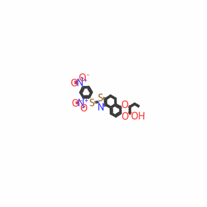 CCC(Oc1cccc2c1CCc1sc(Sc3ccc([N+](=O)[O-])cc3[N+](=O)[O-])nc1-2)C(=O)O